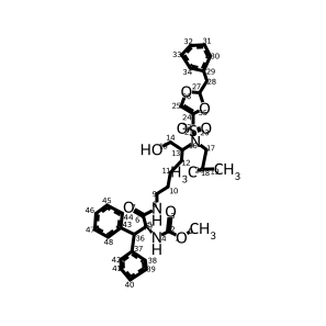 COC(=O)N[C@H](C(=O)NCCCCC(CO)N(CC(C)C)S(=O)(=O)C1=COC(Cc2ccccc2)O1)C(c1ccccc1)c1ccccc1